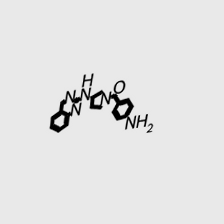 Nc1ccc(C(=O)N2CC[C@H](Nc3ncc4ccccc4n3)C2)cc1